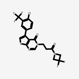 O=C(CCn1cnc2scc(-c3ccc(Cl)c(C(F)(F)F)c3)c2c1=O)N1CC(F)(F)C1